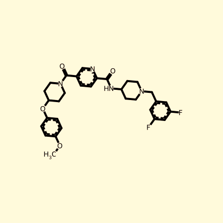 COc1ccc(OC2CCN(C(=O)c3ccc(C(=O)NC4CCN(Cc5cc(F)cc(F)c5)CC4)nc3)CC2)cc1